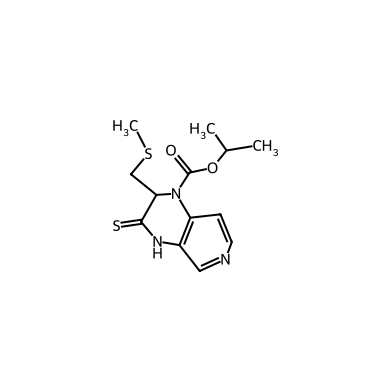 CSCC1C(=S)Nc2cnccc2N1C(=O)OC(C)C